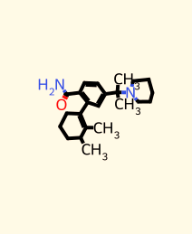 CC1=C(c2cc(C(C)(C)N3CCCCC3)ccc2C(N)=O)CCCC1C